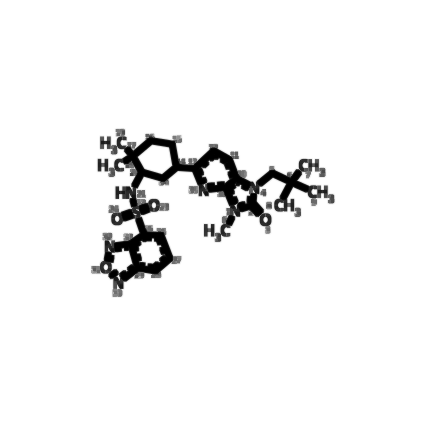 Cn1c(=O)n(CC(C)(C)C)c2ccc(C3CCC(C)(C)C(NS(=O)(=O)c4cccc5nonc45)C3)nc21